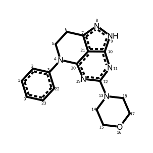 c1ccc(N2CCc3n[nH]c4nc(N5CCOCC5)nc2c34)cc1